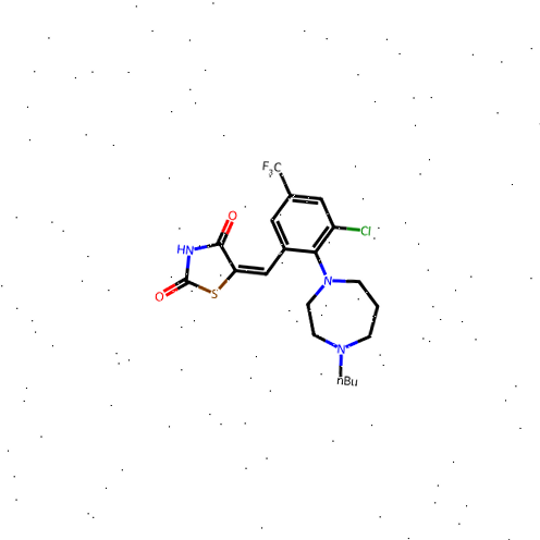 CCCCN1CCCN(c2c(Cl)cc(C(F)(F)F)cc2C=C2SC(=O)NC2=O)CC1